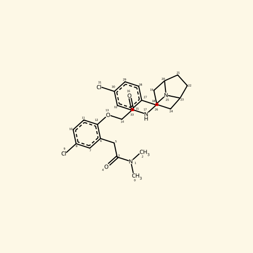 CN(C)C(=O)Cc1cc(Cl)ccc1OCC(=O)NC1CC2CCC(C1)N2Cc1ccc(Cl)cc1